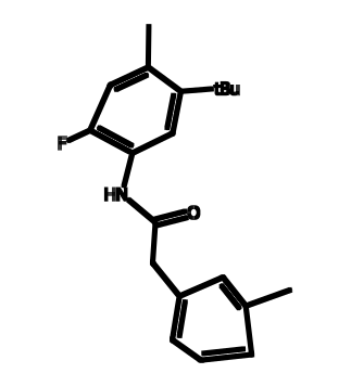 Cc1cccc(CC(=O)Nc2cc(C(C)(C)C)c(C)cc2F)c1